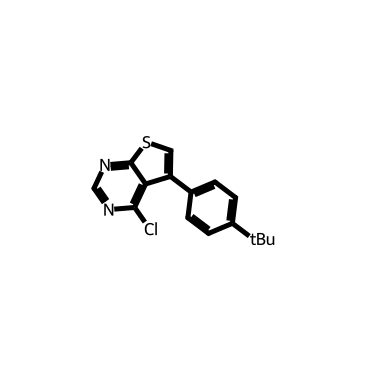 CC(C)(C)c1ccc(-c2csc3ncnc(Cl)c23)cc1